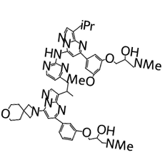 CNCC(O)COc1cc(OC)cc(-c2cc(Nc3nccc(CC(C)c4cnn5c(N6CC7(CCOCC7)C6)cc(-c6cccc(OCC(O)CNC)c6)nc45)n3)n3ncc(C(C)C)c3n2)c1